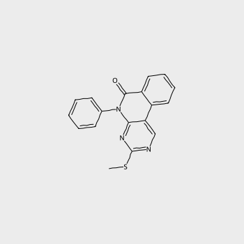 CSc1ncc2c3ccccc3c(=O)n(-c3ccccc3)c2n1